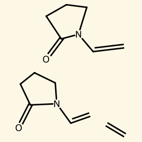 C=C.C=CN1CCCC1=O.C=CN1CCCC1=O